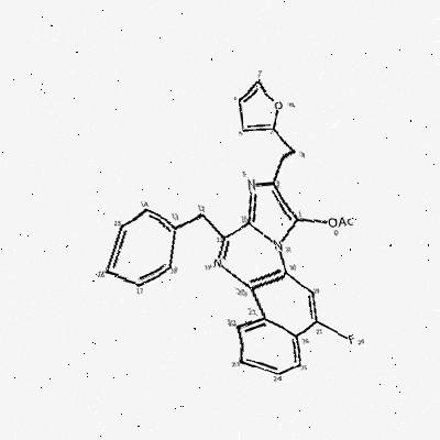 CC(=O)Oc1c(Cc2ccco2)nc2c(Cc3ccccc3)nc3c4ccccc4c(F)cc3n12